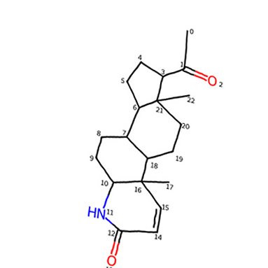 CC(=O)C1CCC2C3CCC4NC(=O)C=CC4(C)C3CCC12C